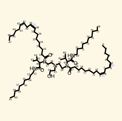 CCCCC/C=C\C/C=C\CCCCCCCC(=O)N(CCN(CCO)CCN(C(=O)CCCCCCC/C=C\C/C=C\CCCCC)C(C(=O)NCCCCCCCCCC)C(C)C)C(C(=O)NCCCCCCCCCC)C(C)C